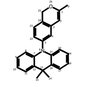 CC1=Cc2cc(N3c4ccccc4C(C)(C)c4ccccc43)ccc2CO1